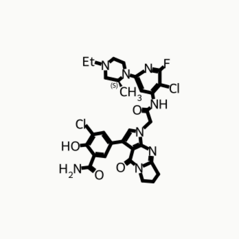 CCN1CCN(c2cc(NC(=O)Cn3cc(-c4cc(Cl)c(O)c(C(N)=O)c4)c4c(=O)n5c(nc43)CCC5)c(Cl)c(F)n2)[C@@H](C)C1